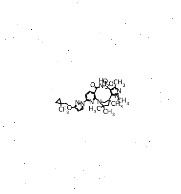 Cc1nn(C)c2c1S(=O)(=O)NC(=O)c1ccc(-n3ccc(OCC4(C(F)(F)F)CC4)n3)nc1N1C[C@@]2(C)CC1(C)C